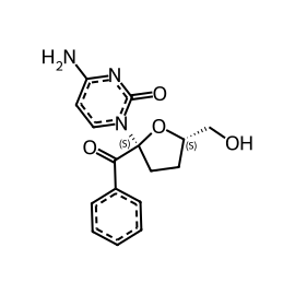 Nc1ccn([C@@]2(C(=O)c3ccccc3)CC[C@@H](CO)O2)c(=O)n1